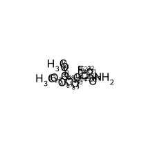 COCCOc1cc2cccc(Oc3ccc4c(C(N)=O)cccc4c3F)c2cc1OCCOC